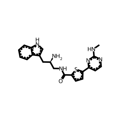 CNc1nccc(-c2ccc(C(=O)NC[C@H](N)Cc3c[nH]c4ccccc34)s2)n1